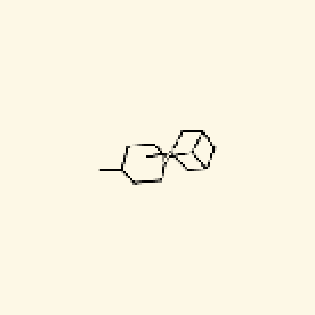 CC1CCN(C2C3CC2CN(C)C3)CC1